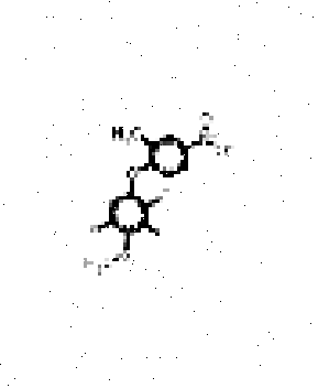 CSc1c(F)cc(Oc2ccc([N+](=O)[O-])cc2C)c(F)c1F